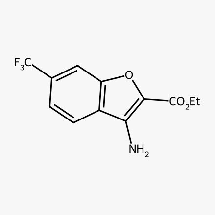 CCOC(=O)c1oc2cc(C(F)(F)F)ccc2c1N